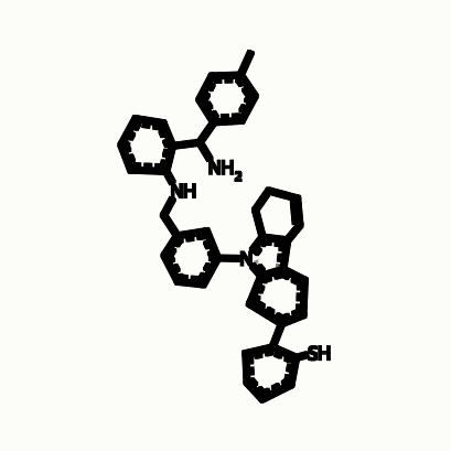 Cc1ccc(C(N)c2ccccc2NCc2cccc(-n3c4c(c5ccc(-c6ccccc6S)cc53)C=CCC4)c2)cc1